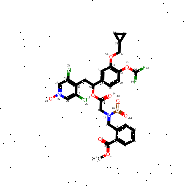 COC(=O)c1ccccc1CN(CC(=O)OC(Cc1c(Cl)c[n+]([O-])cc1Cl)c1ccc(OC(F)F)c(OCC2CC2)c1)[SH](=O)=O